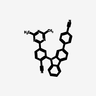 Cc1nc(C)nc(-c2ccc(C#N)c(-n3c4ccccc4c4ccc(-c5ccc(C#N)cc5)cc43)c2)n1